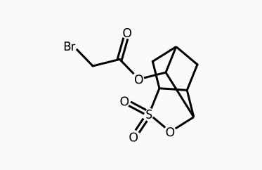 O=C(CBr)OC1C2CC3C1OS(=O)(=O)C3C2